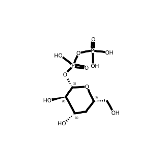 O=P(O)(O)OP(=O)(O)O[C@@H]1O[C@H](CO)C[C@H](O)[C@H]1O